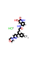 Cl.O=C(/C=C/C=C(\c1ccc(C(F)(F)F)cc1)c1ccc(N2CCOCC2)nc1)Nc1cccc2c1CC(O)C(=O)N2